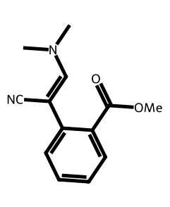 COC(=O)c1ccccc1C(C#N)=CN(C)C